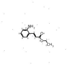 CCOC(=O)/C=C/c1ccccc1N